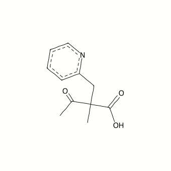 CC(=O)C(C)(Cc1ccccn1)C(=O)O